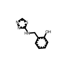 Oc1ccccc1CNc1nncs1